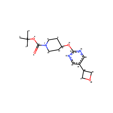 CC(C)(C)OC(=O)N1CCC(Oc2ncc(C3COC3)cn2)CC1